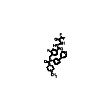 CN1CCN(C(=O)N(Cc2ccc(C(=O)NNC(=O)C(F)F)cc2F)c2cccc(-c3ccncc3)c2)CC1